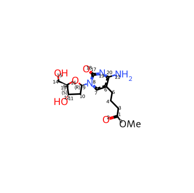 COC(=O)CCCc1cn([C@H]2C[C@H](O)[C@@H](CO)O2)c(=O)nc1N